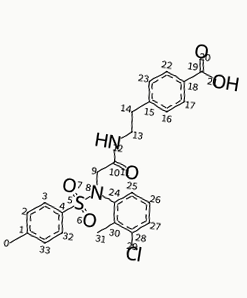 Cc1ccc(S(=O)(=O)N(CC(=O)NCCc2ccc(C(=O)O)cc2)c2cccc(Cl)c2C)cc1